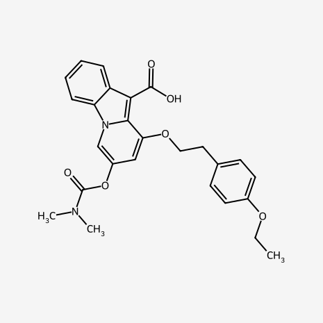 CCOc1ccc(CCOc2cc(OC(=O)N(C)C)cn3c2c(C(=O)O)c2ccccc23)cc1